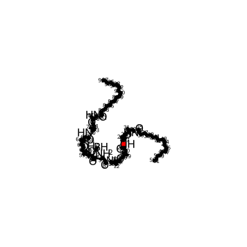 BC(=O)N[C@@H](CCC(=O)NCC(C)(C)COCC(C)(C)CC(=O)NCC(C)(C)COC(C)CNC(=O)CCCCCCC/C=C\C/C=C\CCCCC)C(=O)NCC(C)(C)COCC(C)(C)CC(=O)NCC(C)(C)COC(C)CNC(=O)CCCCCCC/C=C\C/C=C\CCCCC